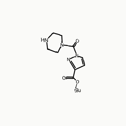 CC(C)(C)OC(=O)c1ccn(C(=O)N2CCNCC2)n1